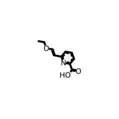 CCOC=Cc1cccc(C(=O)O)n1